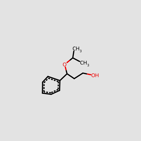 CC(C)OC(CCO)c1ccccc1